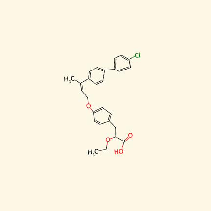 CCOC(Cc1ccc(OC/C=C(/C)c2ccc(-c3ccc(Cl)cc3)cc2)cc1)C(=O)O